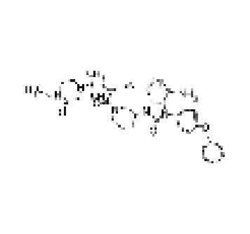 CCN1CCN(C(C)(C)/C=C(/C#N)C(=O)N2CCC[C@@H](n3c(=O)n(-c4ccc(Oc5ccccc5)cc4)c4c(N)nccc43)C2)CC1=O